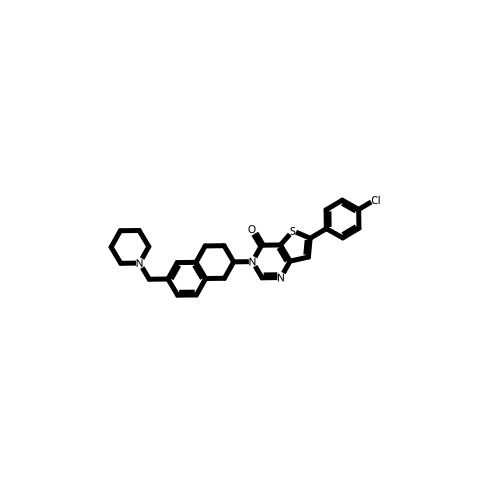 O=c1c2sc(-c3ccc(Cl)cc3)cc2ncn1C1CCc2cc(CN3CCCCC3)ccc2C1